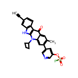 C#Cc1ccc2c(c1)[nH]c1c2c(=O)c2cc(C)c(-c3cncc(OS(=O)(=O)F)c3)cc2n1C1CCC1